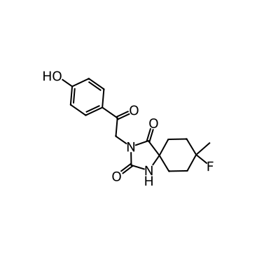 CC1(F)CCC2(CC1)NC(=O)N(CC(=O)c1ccc(O)cc1)C2=O